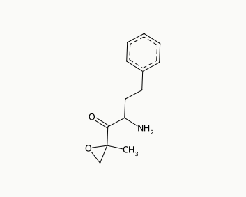 CC1(C(=O)C(N)CCc2ccccc2)CO1